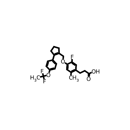 Cc1cc(OCC2=C(c3ccc(OC(C)(F)F)cc3)CCC2)c(F)cc1CCC(=O)O